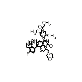 C=CC(=O)N1C[C@H](C)N(c2nc(=O)n3c4c(c(-c5ccc(F)c6cnn(C)c56)c(C(F)(F)F)cc24)SCC3CN2CCOCC2)C[C@H]1C